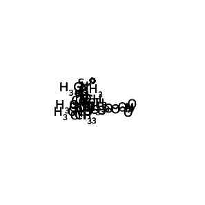 CCC(C)C(C(CC(=O)N1CCC[C@H]1C(OC)C(C)C(=S)NCCc1ccccc1)OC)N(C)C(=O)C(NC(=O)C(C(C)C)N(C)C(=O)CCOCCOCCOCCOCCOCCOCCN1C(=O)C=CC1=O)C(C)C